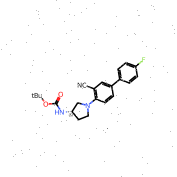 CC(C)(C)OC(=O)N[C@H]1CCN(c2ccc(-c3ccc(F)cc3)cc2C#N)C1